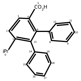 CC(C)c1ccc(C(=O)O)c(-c2ccccc2)c1-c1ccccc1